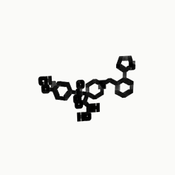 COc1ccc(S(=O)(=O)C2(C(=O)NO)CCN(Cc3ccccc3-c3cccs3)CC2)cc1